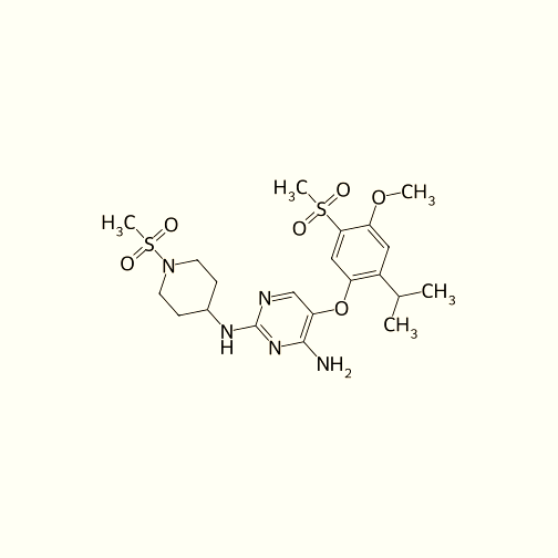 COc1cc(C(C)C)c(Oc2cnc(NC3CCN(S(C)(=O)=O)CC3)nc2N)cc1S(C)(=O)=O